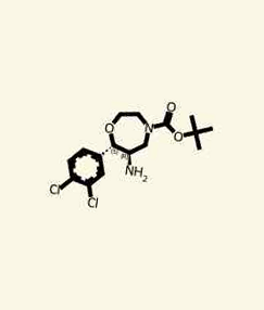 CC(C)(C)OC(=O)N1CCO[C@@H](c2ccc(Cl)c(Cl)c2)[C@H](N)C1